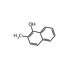 Cc1ccc2ccccc2c1O